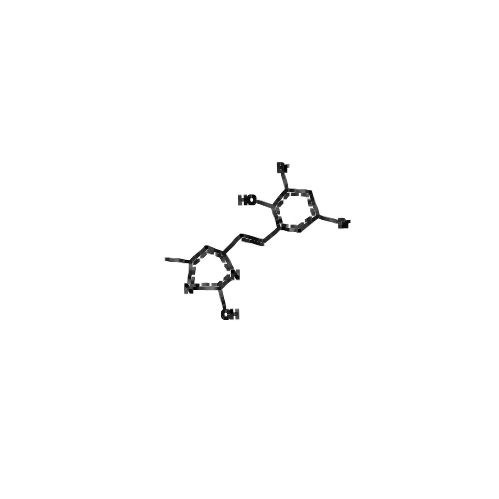 Cc1cc(C=Cc2cc(Br)cc(Br)c2O)nc(O)n1